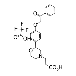 O=C(O)C(F)(F)F.O=C(O)CCN1CCOC(c2ccc(OCC(=O)c3ccccc3)cc2)C1